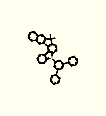 CC1(C)c2cc3ccccc3cc2-c2c1ccc1c2c2ccccc2n1-c1cc(-c2ccccc2)cc(-c2ccccc2)c1